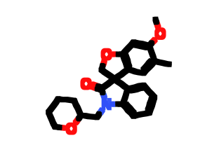 COc1cc2c(cc1C)C1(CO2)C(=O)N(CC2CCCCO2)c2ccccc21